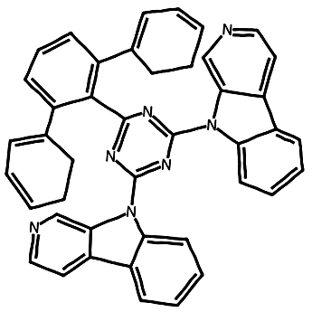 C1=CCCC(c2cccc(C3=CC=CCC3)c2-c2nc(-n3c4ccccc4c4ccncc43)nc(-n3c4ccccc4c4ccncc43)n2)=C1